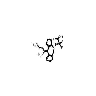 NCCC(N)=C1c2ccccc2CSc2ccccc21.O=C(O)C(F)(F)F